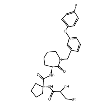 CC(C)C[C@H](O)C(=O)NC1(C(=O)N[C@H]2CCCCN(Cc3cccc(Oc4ccc(F)cc4)c3)C2=O)CCCC1